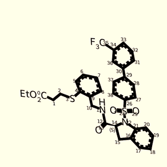 CCOC(=O)CCSc1ccccc1CNC(=O)[C@@H]1Cc2ccccc2N1S(=O)(=O)c1ccc(-c2cccc(C(F)(F)F)c2)cc1